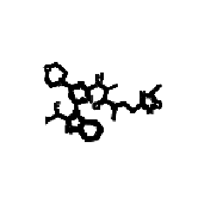 Cc1nc(CCN(C)C(=O)[C@H](C)Nc2nc(N3CCOCC3)cc(-n3c(C(F)F)nc4ccccc43)n2)no1